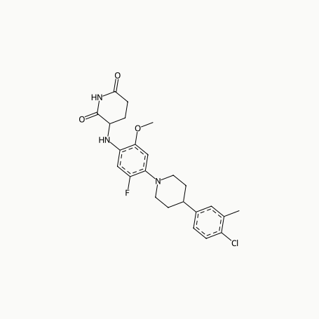 COc1cc(N2CCC(c3ccc(Cl)c(C)c3)CC2)c(F)cc1NC1CCC(=O)NC1=O